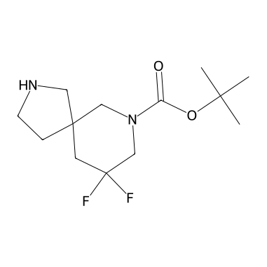 CC(C)(C)OC(=O)N1CC(F)(F)CC2(CCNC2)C1